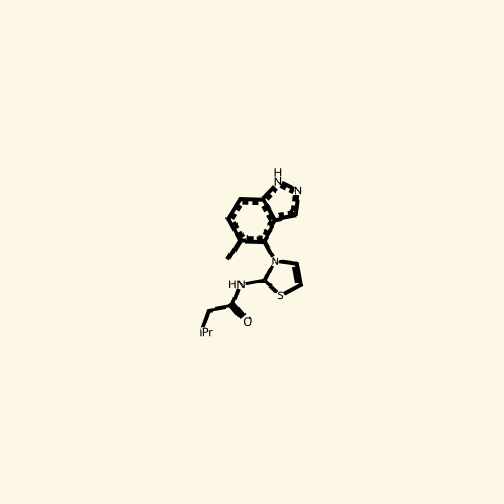 Cc1ccc2[nH]ncc2c1N1C=CSC1NC(=O)CC(C)C